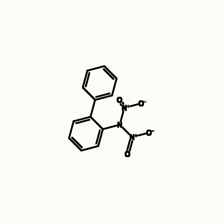 O=[N+]([O-])N(c1ccccc1-c1ccccc1)[N+](=O)[O-]